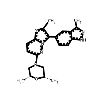 Cc1nc2ccc(N3C[C@@H](C)O[C@@H](C)C3)nn2c1-c1ccc2[nH]nc(C)c2c1